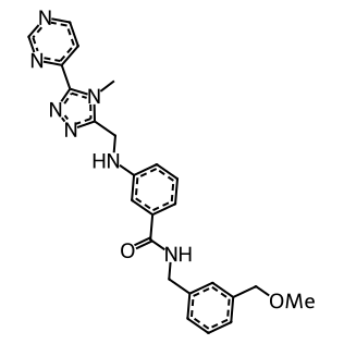 COCc1cccc(CNC(=O)c2cccc(NCc3nnc(-c4ccncn4)n3C)c2)c1